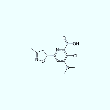 CC1=NOC(c2cc(N(C)C)c(Cl)c(C(=O)O)n2)C1